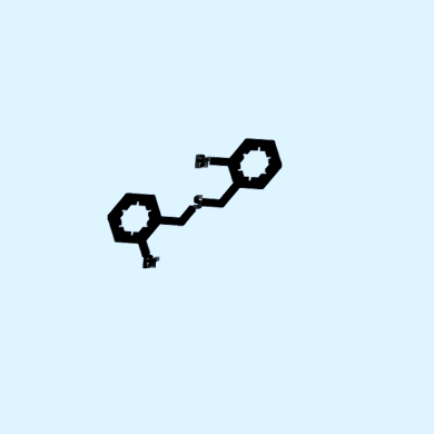 Brc1ccccc1CSCc1ccccc1Br